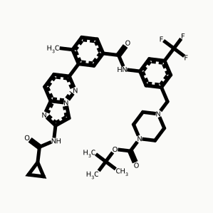 Cc1ccc(C(=O)Nc2cc(CN3CCN(C(=O)OC(C)(C)C)CC3)cc(C(F)(F)F)c2)cc1-c1ccc2nc(NC(=O)C3CC3)cn2n1